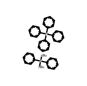 CCCC[B-](CCCC)(c1ccccc1)c1ccccc1.c1ccc([P+](c2ccccc2)(c2ccccc2)c2ccccc2)cc1